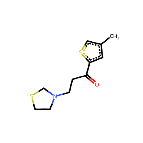 Cc1csc(C(=O)CCN2CCSC2)c1